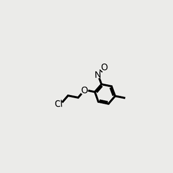 Cc1ccc(OCCCl)c(N=O)c1